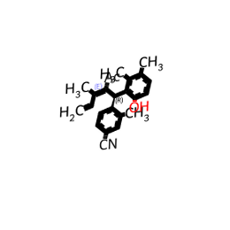 C=C/C(C)=C(/C(C)=O)[C@H](c1ccc(C#N)cc1C)c1c(O)ccc(C)c1C